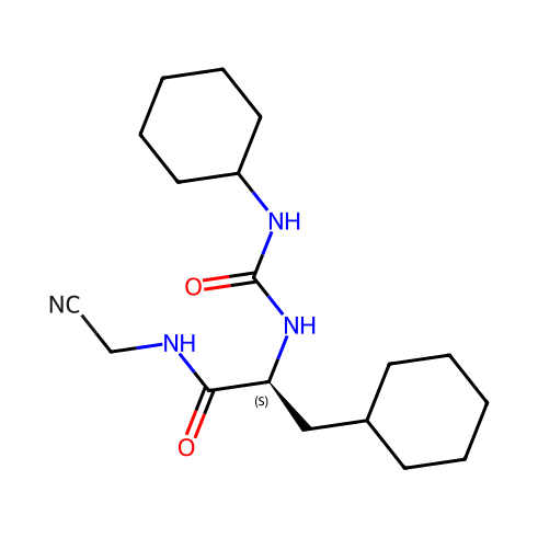 N#CCNC(=O)[C@H](CC1CCCCC1)NC(=O)NC1CCCCC1